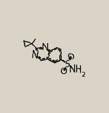 CC1(c2ncc3cc(S(N)(=O)=O)ccc3n2)CC1